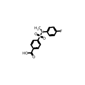 CN(c1ccc(F)cc1)S(=O)(=O)c1ccc(C(=O)O)cc1